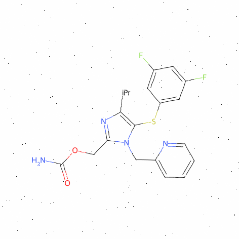 CC(C)c1nc(COC(N)=O)n(Cc2ccccn2)c1Sc1cc(F)cc(F)c1